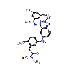 COc1ccc(Nc2ccc3nc(C)nc(N[C@H](C)c4cc([N+](=O)[O-])cc(C(F)(F)F)c4)c3c2)cc1CC(=O)N(C)C